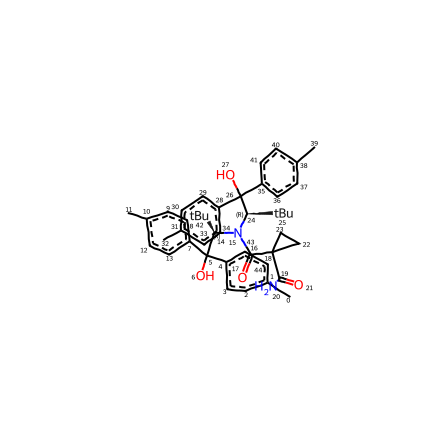 Cc1ccc(C(O)(c2ccc(C)cc2)[C@H](N(C(=O)C2(C(N)=O)CC2)[C@H](C(C)(C)C)C(O)(c2ccc(C)cc2)c2ccc(C)cc2)C(C)(C)C)cc1